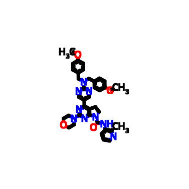 COc1ccc(CN(Cc2ccc(OC)cc2)c2ncc(-c3nc(N4CCOCC4)nc4c3CCN4C(=O)Nc3cccnc3C)cn2)cc1